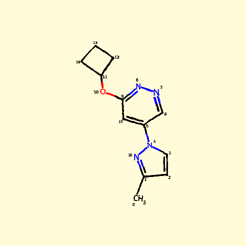 Cc1ccn(-c2cnnc(OC3CCC3)c2)n1